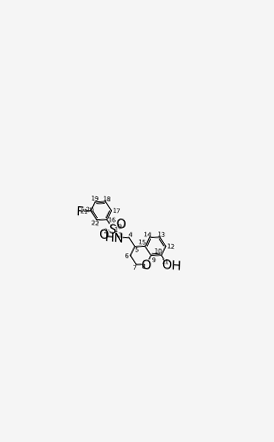 O=S(=O)(NCC1CCOc2c(O)cccc21)c1cccc(F)c1